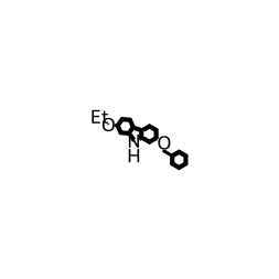 CCOc1ccc2c(c1)[nH]c1cc(OCc3ccccc3)ccc12